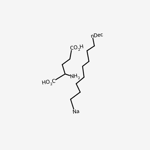 CCCCCCCCCCCCCCCCC[CH2][Na].NC(CCC(=O)O)C(=O)O